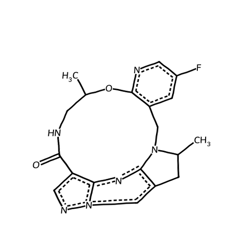 CC1CNC(=O)c2cnn3cc4c(nc23)N(Cc2cc(F)cnc2O1)C(C)C4